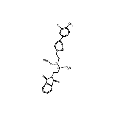 Cc1ccc(-c2ccc(CC[C@H](OC=O)[C@@H](CCN3C(=O)c4ccccc4C3=O)C(=O)O)cc2)cc1F